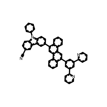 N#Cc1ccc2c(c1)c1cc(-c3cc4c5ccccc5c(-c5cc(-c6ccccn6)cc(-c6ccccn6)c5)cc4c4ccccc34)ccc1n2-c1ccccc1